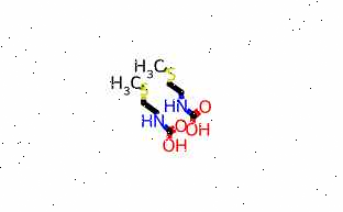 CSCCNC(=O)O.CSCCNC(=O)O